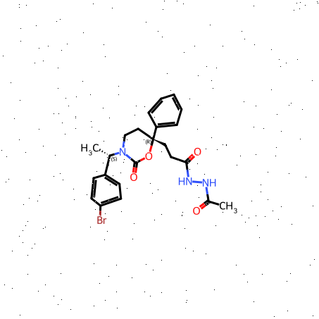 CC(=O)NNC(=O)CC[C@]1(c2ccccc2)CCN([C@@H](C)c2ccc(Br)cc2)C(=O)O1